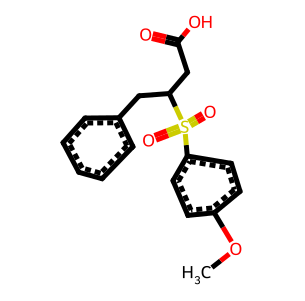 COc1ccc(S(=O)(=O)C(CC(=O)O)Cc2ccccc2)cc1